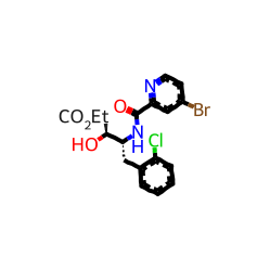 CCOC(=O)[C@H](O)[C@@H](Cc1ccccc1Cl)NC(=O)c1cc(Br)ccn1